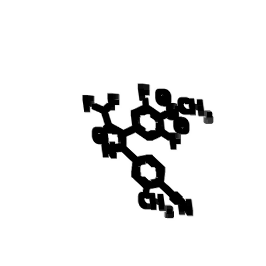 Cc1cc(-c2noc(C(F)F)c2-c2cc(F)c(S(C)(=O)=O)c(F)c2)ccc1C#N